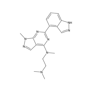 CN(C)CCN(C)c1nc(-c2cccc3[nH]ncc23)nc2c1cnn2C